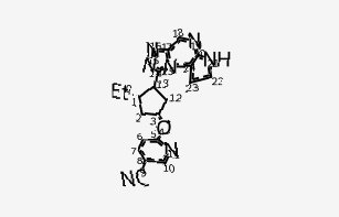 CC[C@H]1C[C@H](Oc2ccc(C#N)cn2)CC1c1nnc2cnc3[nH]ccc3n12